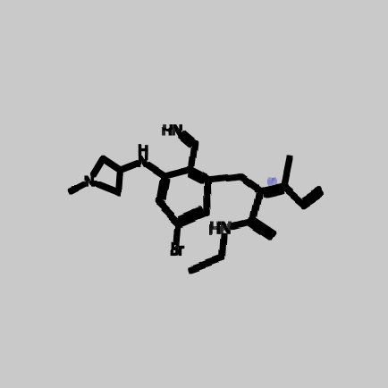 C=C/C(C)=C(/Cc1cc(Br)cc(NC2CN(C)C2)c1C=N)C(=C)NCC